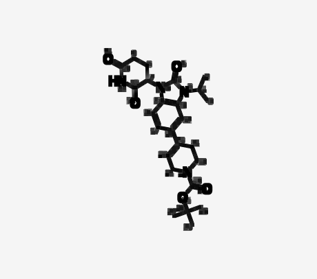 CC(C)n1c(=O)n(C2CCC(=O)NC2=O)c2ccc(C3=CCN(C(=O)OC(C)(C)C)CC3)cc21